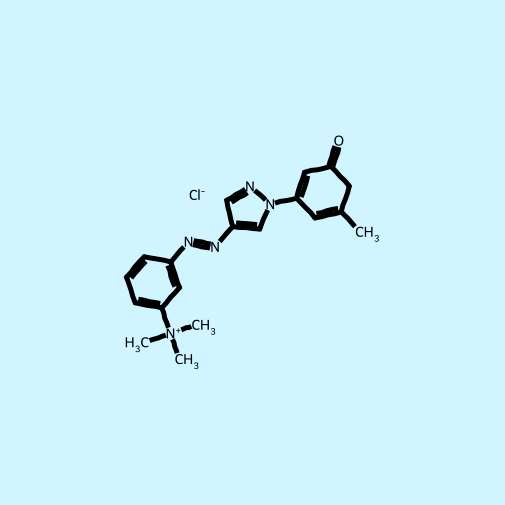 CC1=CC(n2cc(/N=N/c3cccc([N+](C)(C)C)c3)cn2)=CC(=O)C1.[Cl-]